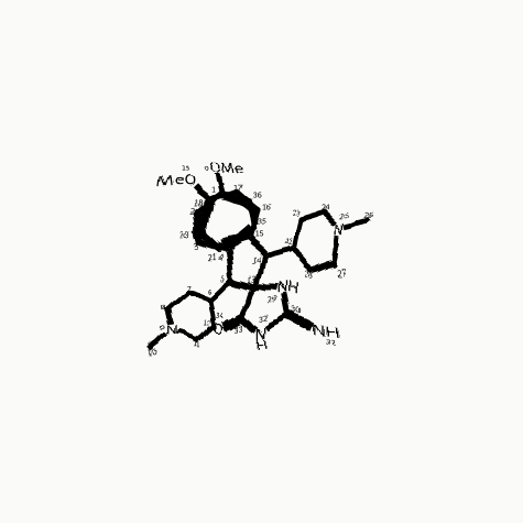 COc1ccc(C(C2CCN(C)CC2)C2(C(c3ccc(OC)cc3)C3CCN(C)CC3)NC(=N)NC2=O)cc1